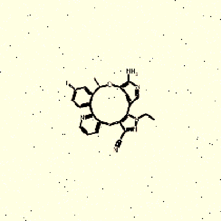 CCn1nc(C#N)c2c1-c1cnc(N)c(c1)O[C@H](C)c1cc(F)ccc1-c1ncccc1C2